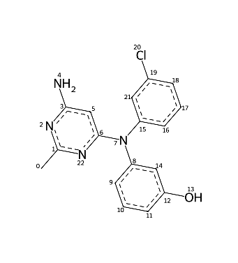 Cc1nc(N)cc(N(c2cccc(O)c2)c2cccc(Cl)c2)n1